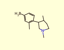 Bc1ccc(C2CN(C)CCC2C)c(C)c1